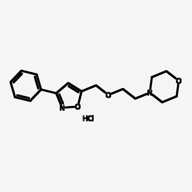 Cl.c1ccc(-c2cc(COCCN3CCOCC3)on2)cc1